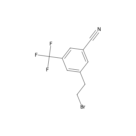 N#Cc1cc(CCBr)cc(C(F)(F)F)c1